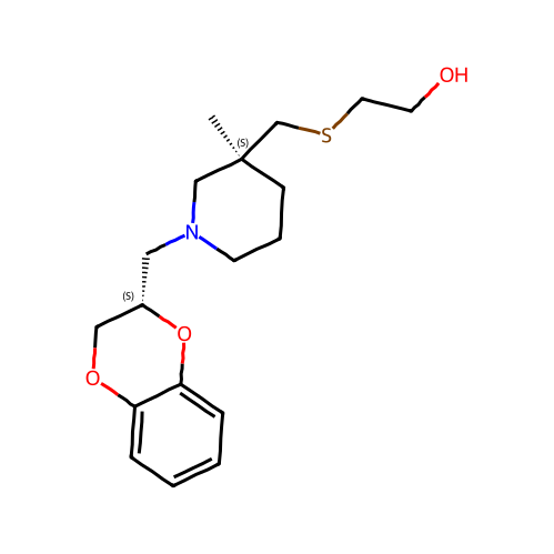 C[C@]1(CSCCO)CCCN(C[C@H]2COc3ccccc3O2)C1